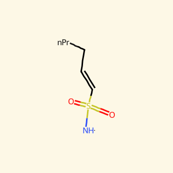 CCCCC=CS([NH])(=O)=O